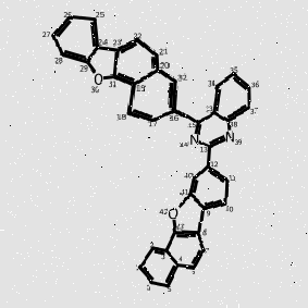 c1ccc2c(c1)ccc1c3ccc(-c4nc(-c5ccc6c(ccc7c8ccccc8oc67)c5)c5ccccc5n4)cc3oc21